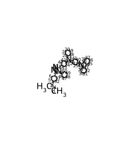 CCC(C)c1ccc(-c2nnc(-c3ccc(N(c4ccccc4)c4ccc(-n5c6ccccc6c6ccccc65)cc4)cc3)n2-c2ccccc2)cc1